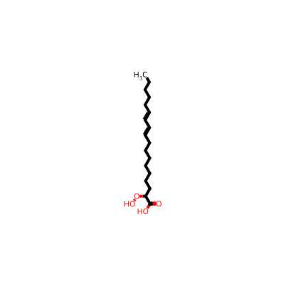 CCCCCC=CC=CCCCCCCCC(OO)C(=O)O